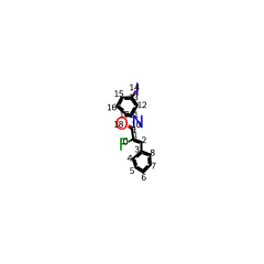 F/C(=C\c1ccccc1)c1nc2cc(I)ccc2o1